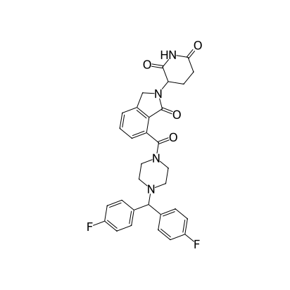 O=C1CCC(N2Cc3cccc(C(=O)N4CCN(C(c5ccc(F)cc5)c5ccc(F)cc5)CC4)c3C2=O)C(=O)N1